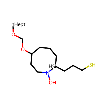 CCCCCCCOCOC1CCC[SiH](CCCS)N(O)CC1